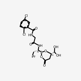 CC(C)C[C@H](NC(=O)CNC(=O)c1cc(Cl)ccc1Cl)B1OC(=O)C[C@@H](C(O)O)O1